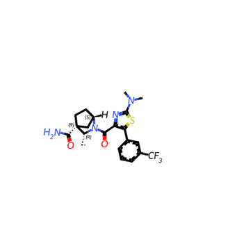 [CH2][C@H]1N(C(=O)c2nc(N(C)C)sc2-c2cccc(C(F)(F)F)c2)[C@H]2CC[C@@]1(C(N)=O)C2